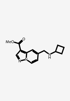 COC(=O)c1cnn2ccc(CNC3CCC3)cc12